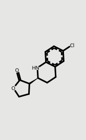 O=C1OCCC1[C@@H]1CCc2cc(Cl)ccc2N1